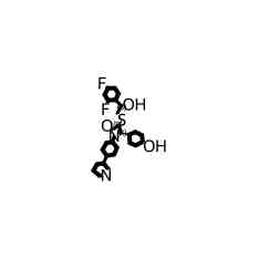 O=C1[C@H](SC[C@@H](O)c2ccc(F)cc2F)[C@@H](c2ccc(O)cc2)N1c1ccc(-c2cccnc2)cc1